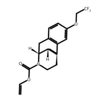 C=COC(=O)N1CC[C@]23CCCC[C@H]2[C@H]1Cc1ccc(OCC(F)(F)F)cc13